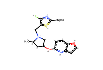 CC(=O)Nc1nc(F)c(CN2CC(Oc3ccc4occc4n3)CC2C)s1